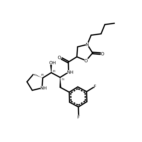 CCCCN1CC(C(=O)N[C@@H](Cc2cc(F)cc(F)c2)[C@H](O)[C@H]2CCCN2)OC1=O